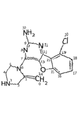 C=C1CNCCN1c1nc(N)nc2c1oc1cccc(Cl)c12